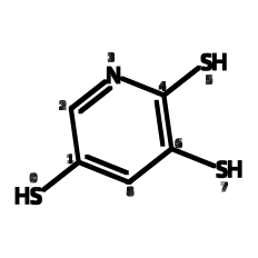 Sc1cnc(S)c(S)c1